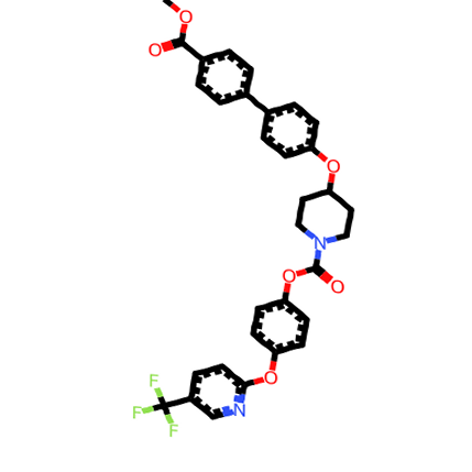 COC(=O)c1ccc(-c2ccc(OC3CCN(C(=O)Oc4ccc(Oc5ccc(C(F)(F)F)cn5)cc4)CC3)cc2)cc1